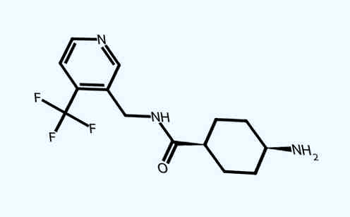 N[C@H]1CC[C@@H](C(=O)NCc2cnccc2C(F)(F)F)CC1